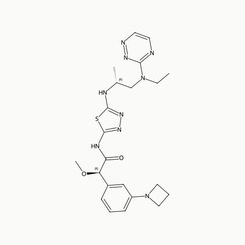 CCN(C[C@@H](C)Nc1nnc(NC(=O)[C@H](OC)c2cccc(N3CCC3)c2)s1)c1nccnn1